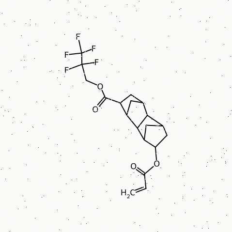 C=CC(=O)OC1CC2CC1C1C3CC(CC3C(=O)OCC(F)(F)C(F)(F)F)C21